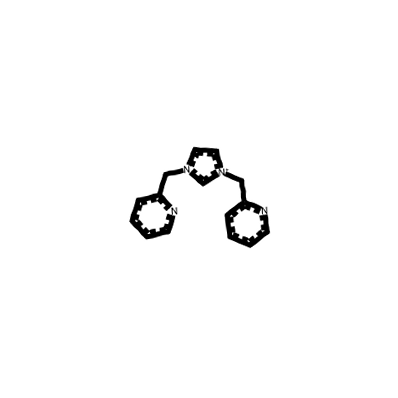 c1ccc(Cn2cc[n+](Cc3ccccn3)c2)nc1